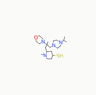 CC(C)N1CCN(CC(C)(CC2CC(S)CCN2C)N2CCOCC2)CC1